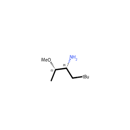 CO[C@@H](C)[C@H](N)CC(C)(C)C